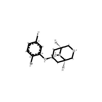 CN1[C@@H]2COC[C@H]1C[C@@H](Oc1cc(F)ccc1Br)C2